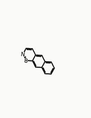 b1nccc2cc3ccccc3cc12